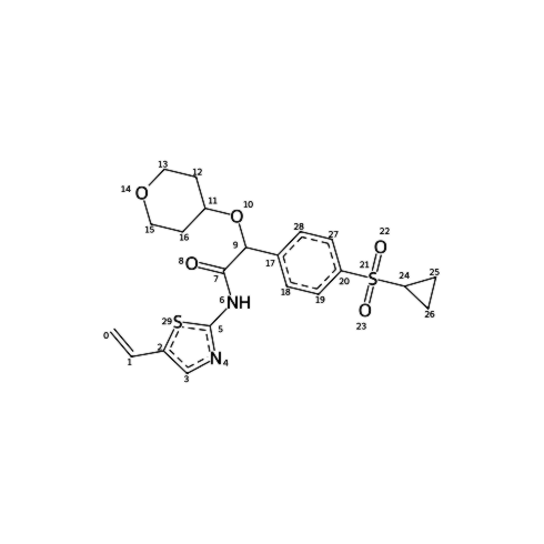 C=Cc1cnc(NC(=O)C(OC2CCOCC2)c2ccc(S(=O)(=O)C3CC3)cc2)s1